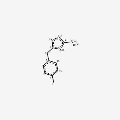 Cc1ccc(Cc2nnc(N)s2)cc1